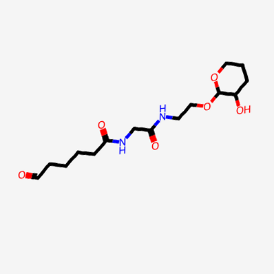 O=CCCCCC(=O)NCC(=O)NCCOC1OCCCC1O